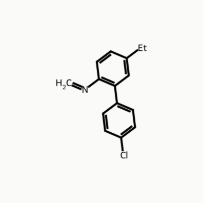 C=Nc1ccc(CC)cc1-c1ccc(Cl)cc1